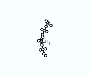 Cc1n(-c2ccc(-c3c4ccccc4c(-c4ccc5ccccc5c4)c4ccccc34)cc2)c2ccccc2[n+]1-c1ccc2cc(-c3c4ccccc4c(-c4ccc(-n5c(-c6ccccc6)nc6ccccc65)cc4)c4ccccc34)ccc2c1